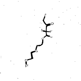 CCOCCOCCOC(=O)C(F)(F)C(=O)CF